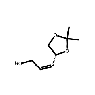 CC1(C)OC[C@@H](/C=C\CO)O1